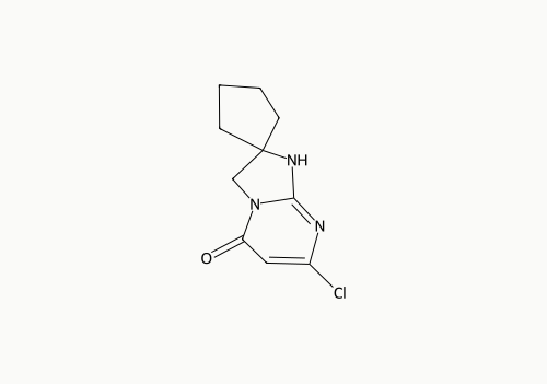 O=c1cc(Cl)nc2n1CC1(CCCC1)N2